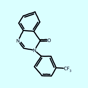 O=c1c2ccccc2ncn1-c1cccc(C(F)(F)F)c1